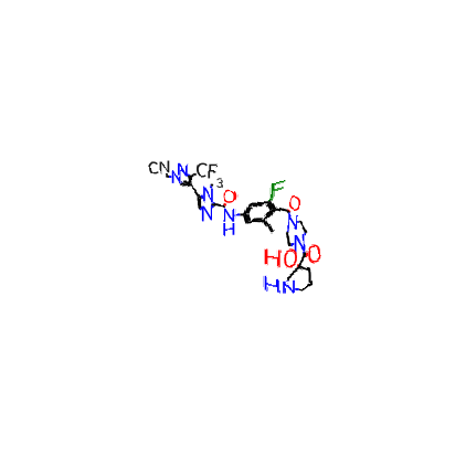 Cc1cc(NC(=O)c2ncc(-c3cn(CC#N)nc3C(F)(F)F)n2C)cc(F)c1C(=O)N1CCN(C(=O)C2(O)CCCNC2)CC1